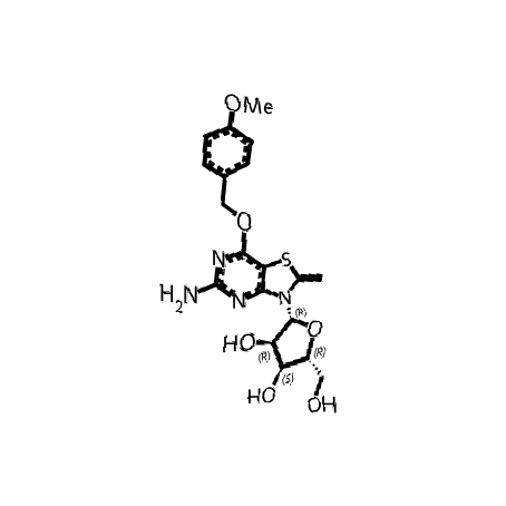 C=C1Sc2c(OCc3ccc(OC)cc3)nc(N)nc2N1[C@@H]1O[C@H](CO)[C@@H](O)[C@H]1O